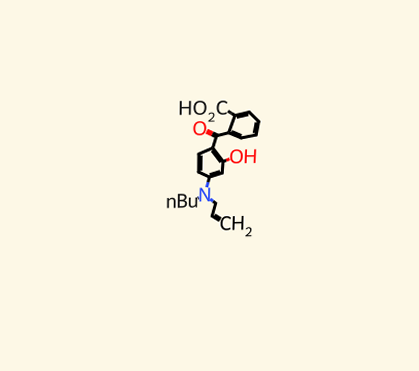 C=CCN(CCCC)c1ccc(C(=O)c2ccccc2C(=O)O)c(O)c1